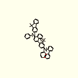 CC1(C)c2ccccc2-c2ccc(N(c3ccccc3)c3ccc4c5c(cccc35)[Si](C)(C)c3cc(N(c5ccccc5)c5ccccc5-c5ccccc5)ccc3-4)cc21